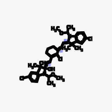 COC(C)N1/C(=C/C=C2\CCCC(/C=C/C3(O)N(C(C)OC)c4ccc(Cl)cc4C3(C)C)=C2Cl)C(C)(C)c2cc(Cl)ccc21